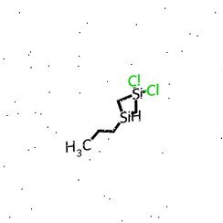 CCC[SiH]1C[Si](Cl)(Cl)C1